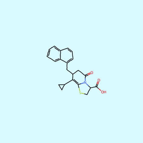 O=C(O)C1CSC2=C(C3CC3)C(Cc3cccc4ccccc34)CC(=O)N21